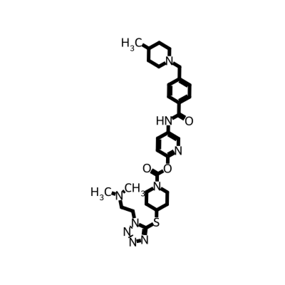 CC1CCN(Cc2ccc(C(=O)Nc3ccc(OC(=O)N4CCC(Sc5nnnn5CCN(C)C)CC4)nc3)cc2)CC1